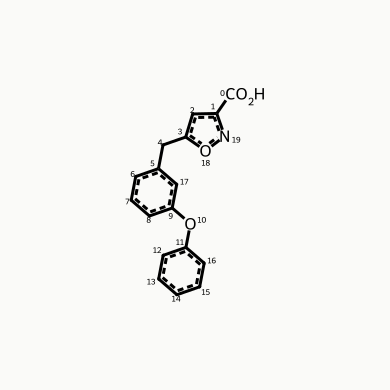 O=C(O)c1cc(Cc2cccc(Oc3ccccc3)c2)on1